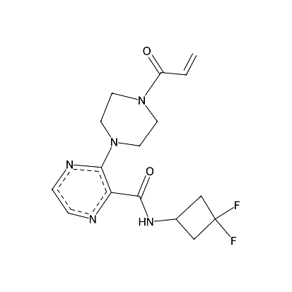 C=CC(=O)N1CCN(c2nccnc2C(=O)NC2CC(F)(F)C2)CC1